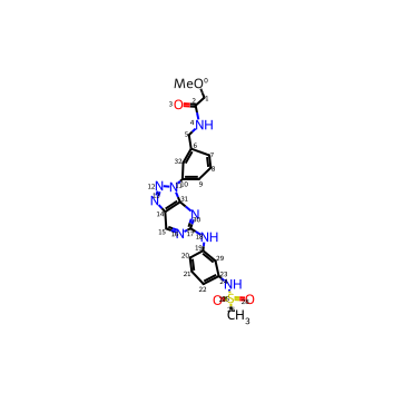 COCC(=O)NCc1cccc(-n2nnc3cnc(Nc4cccc(NS(C)(=O)=O)c4)nc32)c1